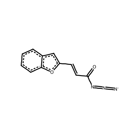 [N-]=[N+]=NC(=O)C=Cc1cc2ccccc2o1